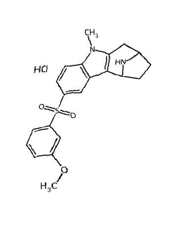 COc1cccc(S(=O)(=O)c2ccc3c(c2)c2c(n3C)CC3CCC2N3)c1.Cl